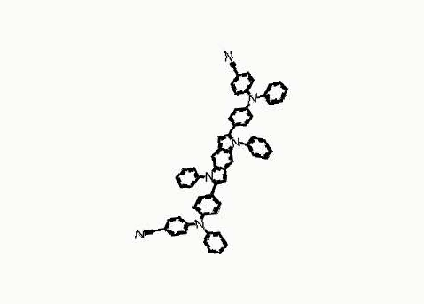 N#Cc1ccc(N(c2ccccc2)c2ccc(-c3cc4cc5c(cc(-c6ccc(N(c7ccccc7)c7ccc(C#N)cc7)cc6)n5-c5ccccc5)cc4n3-c3ccccc3)cc2)cc1